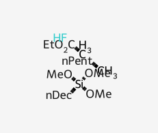 CCCCCC.CCCCCCCCCC[Si](OC)(OC)OC.CCOC(C)=O.F